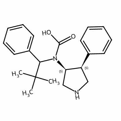 CC(C)(C)C(c1ccccc1)N(C(=O)O)[C@@H]1CNC[C@@H]1c1ccccc1